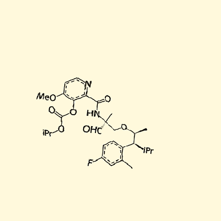 COc1ccnc(C(=O)N[C@](C)(C=O)CO[C@@H](C)[C@H](c2ccc(F)cc2C)C(C)C)c1OC(=O)OC(C)C